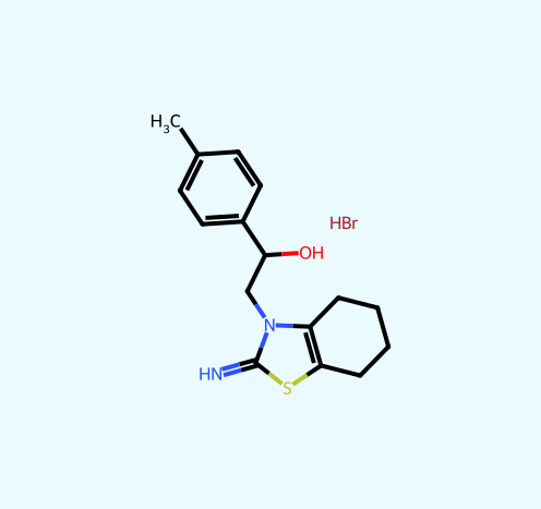 Br.Cc1ccc(C(O)Cn2c3c(sc2=N)CCCC3)cc1